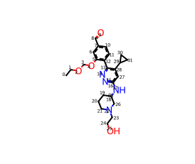 CCOCOc1cc(C=O)ccc1-c1nnc(N[C@@H]2CCCN(CCO)C2)cc1C1CC1